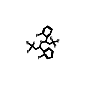 Fc1ccccc1C(CC(F)(F)F)SC(CC(F)(F)F)c1ccccc1F